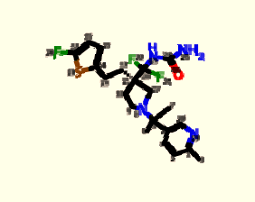 Cc1ccc(C(C)(C)N2CC[C@@](CCc3ccc(F)s3)(C(F)(F)NC(N)=O)C2)cn1